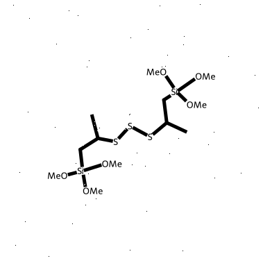 CO[Si](CC(C)SSSC(C)C[Si](OC)(OC)OC)(OC)OC